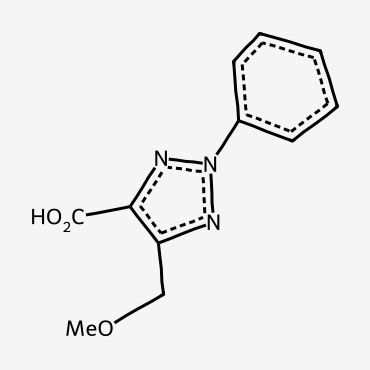 COCc1nn(-c2ccccc2)nc1C(=O)O